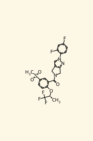 C[C@H](Oc1ccc(S(C)(=O)=O)cc1C(=O)N1Cc2cn(-c3ccc(F)cc3F)nc2C1)C(F)(F)F